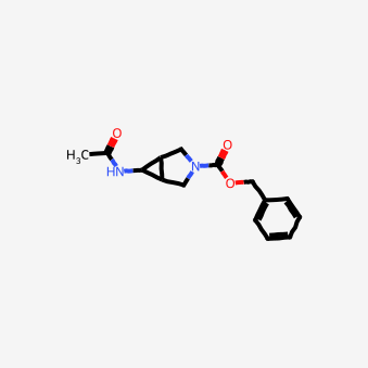 CC(=O)NC1C2CN(C(=O)OCc3ccccc3)CC21